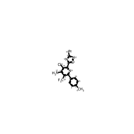 Cc1ccc(-c2nc(-c3nc(C(C)C)no3)c(Cl)c(N)c2C(F)(F)F)cc1